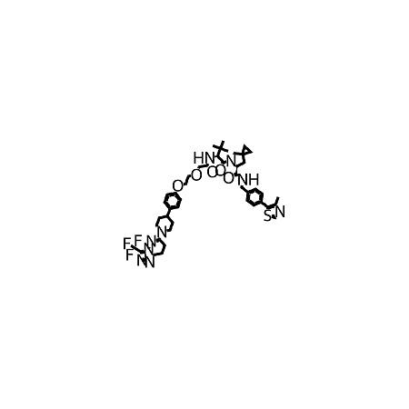 Cc1ncsc1-c1ccc(CNC(=O)[C@@H]2CC3(CC3)CN2C(=O)[C@@H](NC(=O)COCCOc2ccc(C3CCN(C4=Nn5c(nnc5C(F)(F)F)CC4)CC3)cc2)C(C)(C)C)cc1